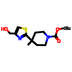 CC(C)(C)OC(=O)N1CCC(C)(c2nc(CO)cs2)CC1